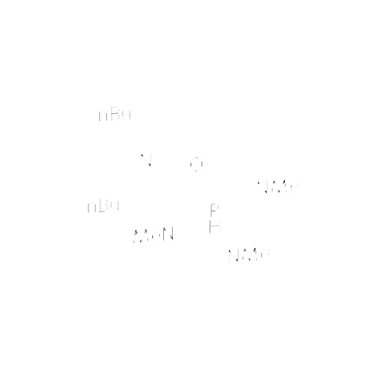 CCCCN(CCCC)O[PH](NC)(NC)NC